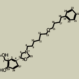 OCc1cc([C@@H]2CN(CCCCCCOCCCCc3ccccc3)CO2)ccc1O